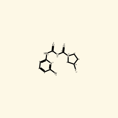 O=C(Nc1cccc(Br)n1)OC(=O)N1CCC(F)C1